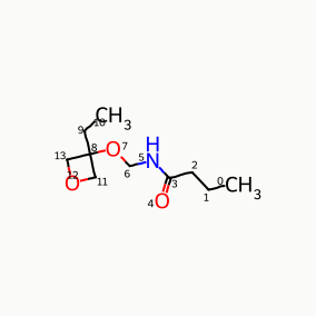 CCCC(=O)NCOC1(CC)COC1